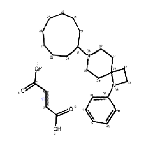 O=C(O)/C=C/C(=O)O.c1ccc(N2CCC23CCN(C2CCCCCCCC2)CC3)cc1